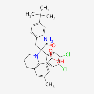 Cc1cc2c(c(C(=O)O)c1)N(C(Cc1ccc(C(C)(C)C)cc1)(C(N)=O)c1ccc(Cl)c(Cl)c1)CCC2